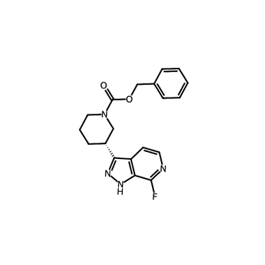 O=C(OCc1ccccc1)N1CCC[C@@H](c2n[nH]c3c(F)nccc23)C1